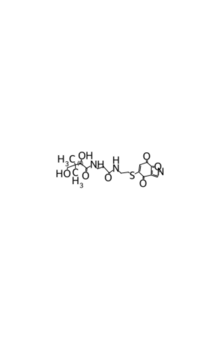 CC(C)(CO)[C@@H](O)C(=O)NCCC(=O)NCCSC1=CC(=O)c2oncc2C1=O